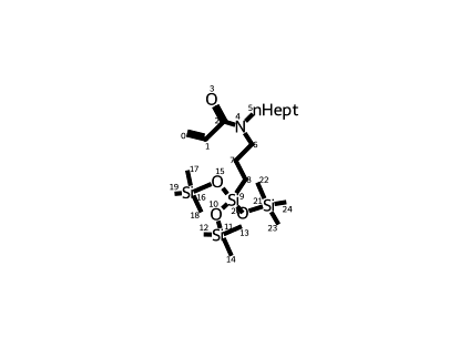 C=CC(=O)N(CCCCCCC)CCC[Si](O[Si](C)(C)C)(O[Si](C)(C)C)O[Si](C)(C)C